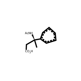 CC(=O)N[C@@](C)(CC(=O)O)c1ccccc1